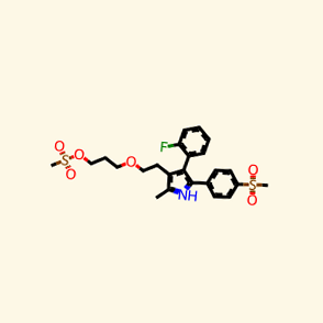 Cc1[nH]c(-c2ccc(S(C)(=O)=O)cc2)c(-c2ccccc2F)c1CCOCCCOS(C)(=O)=O